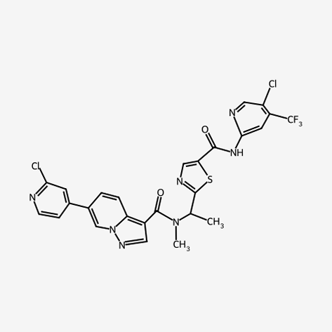 CC(c1ncc(C(=O)Nc2cc(C(F)(F)F)c(Cl)cn2)s1)N(C)C(=O)c1cnn2cc(-c3ccnc(Cl)c3)ccc12